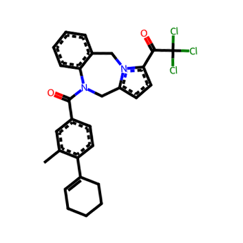 Cc1cc(C(=O)N2Cc3ccc(C(=O)C(Cl)(Cl)Cl)n3Cc3ccccc32)ccc1C1=CCCCC1